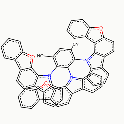 N#Cc1cc(C#N)c(-n2c3ccccc3c3ccc4oc5ccccc5c4c32)c(-n2c3ccccc3c3ccc4c5ccccc5oc4c32)c1-n1c2ccccc2c2ccc3c4ccccc4oc3c21